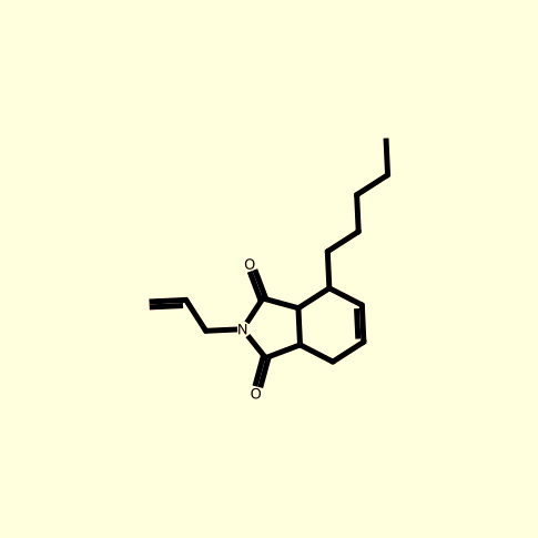 C=CCN1C(=O)C2CC=CC(CCCCC)C2C1=O